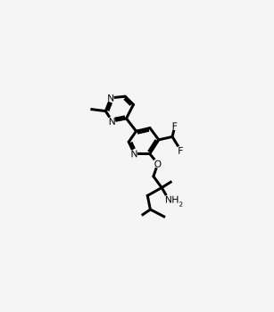 Cc1nccc(-c2cnc(OCC(C)(N)CC(C)C)c(C(F)F)c2)n1